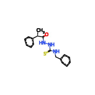 CC(C(=O)NNC(=S)NCc1ccccc1)c1ccccc1